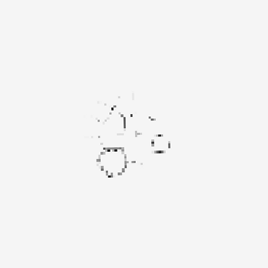 CC(OC(C)C1(C)COC1)C1(C)COC1.Oc1cccc(O)c1